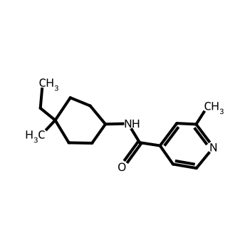 CCC1(C)CCC(NC(=O)c2ccnc(C)c2)CC1